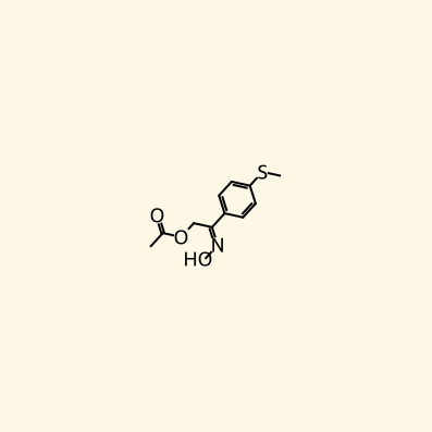 CSc1ccc(C(COC(C)=O)=NO)cc1